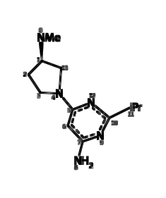 CN[C@@H]1CCN(c2cc(N)nc(C(C)C)n2)C1